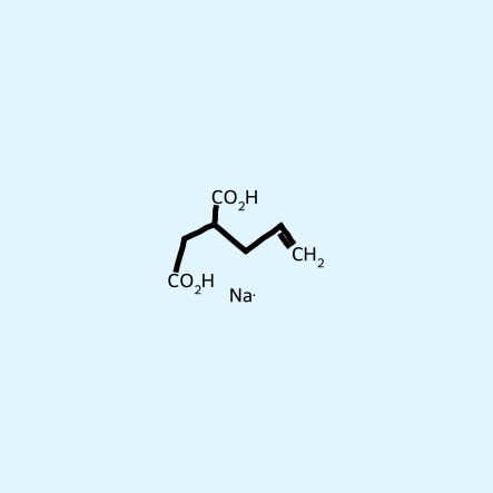 C=CCC(CC(=O)O)C(=O)O.[Na]